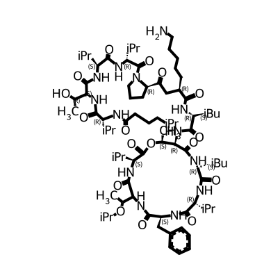 CC[C@H](C)[C@@H](NC(=O)[C@H](CCCCCN)CC(=O)[C@H]1CCCN1C(=O)[C@H](NC(=O)[C@@H](NC(=O)[C@@H](NC(=O)[C@H](NC(=O)CCCC(C)C)C(C)C)[C@@H](C)O)C(C)C)C(C)C)C(=O)N[C@H]1C(=O)N[C@H]([C@@H](C)CC)C(=O)N[C@H](C(C)C)C(=O)N[C@@H](Cc2ccccc2)C(=O)NC(C(C)OC(C)C)C(=O)N[C@@H](C(C)C)C(=O)O[C@H]1C